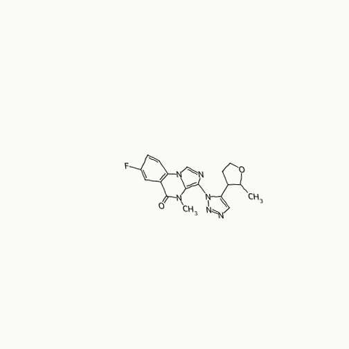 CC1OCCC1c1cnnn1-c1ncn2c3ccc(F)cc3c(=O)n(C)c12